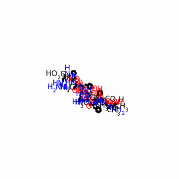 CC(C)[C@H](NC(=O)[C@@H](NC(=O)[C@H](Cc1ccc(O)cc1)NC(=O)[C@H](Cc1c[nH]cn1)NC(=O)[C@H](CO)N(C)C(=O)[C@H](C)NC(=O)[C@H](Cc1ccccc1)N(C)C(=O)[C@H](Cc1ccccc1)N(C)C(=O)[C@H](CC(=O)O)NC(=O)CN(C)C(=O)[C@@H](N)[C@@H](C)O)[C@@H](C)O)C(=O)N1CCC[C@H]1C(=O)N[C@@H](CCCNC(=N)N)C(=O)O